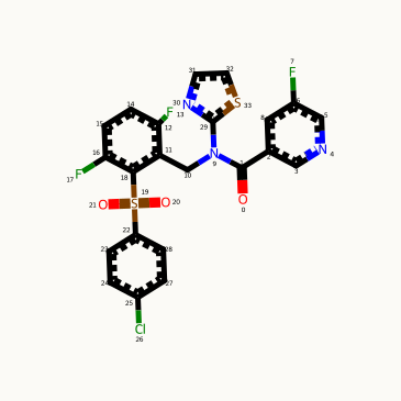 O=C(c1cncc(F)c1)N(Cc1c(F)ccc(F)c1S(=O)(=O)c1ccc(Cl)cc1)c1nccs1